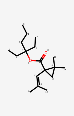 CCCC(CC)(CC)OC(=O)C1(C=C(C)C)CC1(C)C